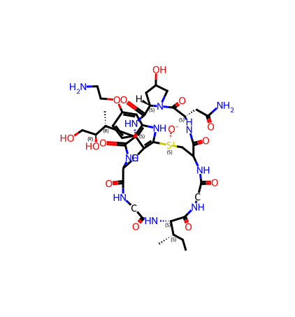 CC[C@H](C)[C@@H]1NC(=O)CNC(=O)C2Cc3c([nH]c4cc(OCCN)ccc34)[S@+]([O-])CC(NC(=O)CNC1=O)C(=O)N[C@@H](CC(N)=O)C(=O)N1CC(O)C[C@H]1C(=O)N[C@@H]([C@@H](C)[C@@H](O)CO)C(=O)N2